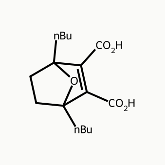 CCCCC12CCC(CCCC)(O1)C(C(=O)O)=C2C(=O)O